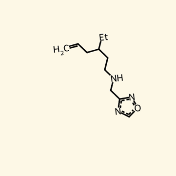 C=CCC(CC)CCNCc1ncon1